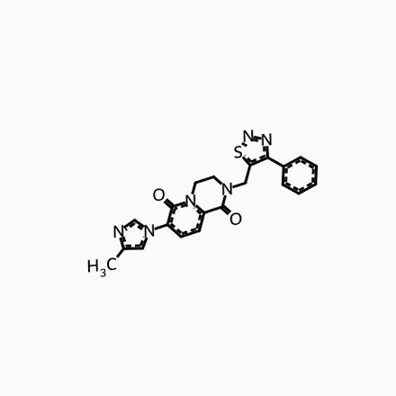 Cc1cn(-c2ccc3n(c2=O)CCN(Cc2snnc2-c2ccccc2)C3=O)cn1